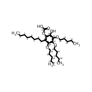 CCCCCCCCc1c(OC(=O)O)c(O)c(OCCCCC)c(OCCCCC)c1OCCCCC